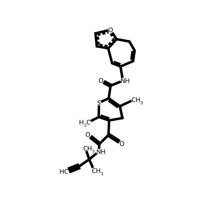 C#CC(C)(C)NC(=O)C(=O)C1=C(C)SC(C(=O)NC2=Cc3ccoc3CC=C2)=C(C)C1